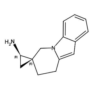 N[C@@H]1C[C@@]12CCc1cc3ccccc3n1C2